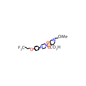 COCCN1CCC(C(=O)O)(S(=O)(=O)N2CCN(c3ccc(OCCCC(F)(F)F)cc3)CC2)CC1